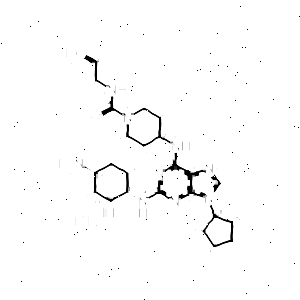 C=CCNC(=O)N1CCC(Nc2nc(N[C@H]3CC[C@H](N)CC3)nc3c2ncn3C2CCCC2)CC1.Cl.Cl